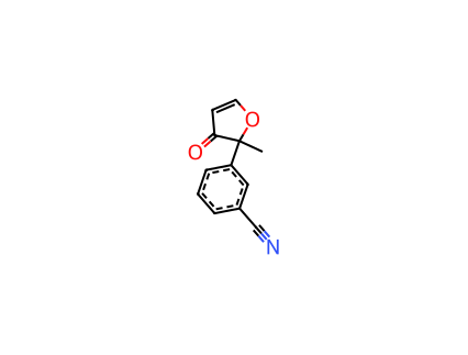 CC1(c2cccc(C#N)c2)OC=CC1=O